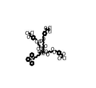 O=C(CCCCC[P+](c1ccccc1)(c1ccccc1)c1ccccc1)NC(COC(=O)CCC(=O)OCc1ccc(C(=O)C(Cl)Cl)cc1)(COC(=O)CCC(=O)OCc1ccc(C(=O)C(Cl)Cl)cc1)COC(=O)CCC(=O)OCc1ccc(C(=O)C(Cl)Cl)cc1